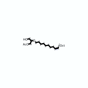 CCCCCCCC/C=C\CCCCCCCCOC(CO)COC(C)=O